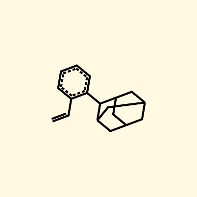 C=Cc1ccccc1C1C2CC3CC(C2)CC1C3